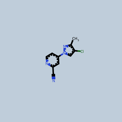 Cc1nn(-c2ccnc(C#N)c2)cc1Cl